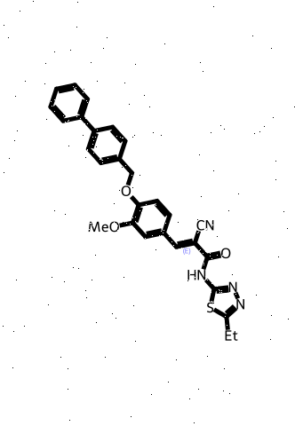 CCc1nnc(NC(=O)/C(C#N)=C/c2ccc(OCc3ccc(-c4ccccc4)cc3)c(OC)c2)s1